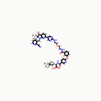 CC(C)(C)CC[C@H](NC(=O)c1ccc(Oc2cccc(C(=O)NCCOCCNc3ncc(-c4ccc5c(n4)N(Cc4cccnc4C#N)C(C)(C)C5=O)cn3)c2)nc1)C(=O)O